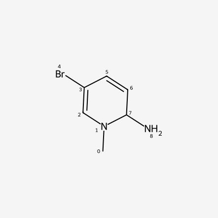 CN1C=C(Br)C=CC1N